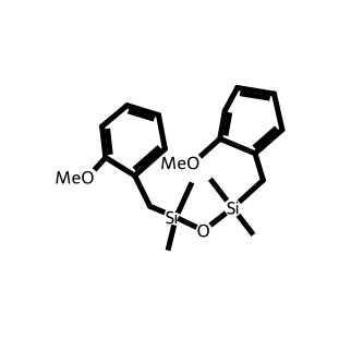 COc1ccccc1C[Si](C)(C)O[Si](C)(C)Cc1ccccc1OC